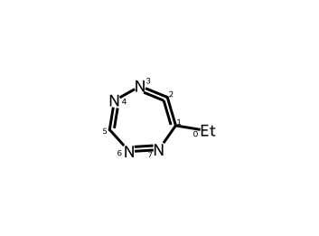 CCC1=C=NN=CN=N1